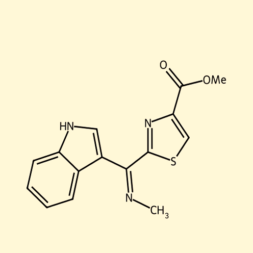 CN=C(c1nc(C(=O)OC)cs1)c1c[nH]c2ccccc12